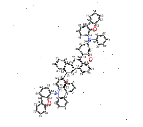 c1ccc(-c2ccccc2N(c2ccc(-c3cc4c5cccc6c5c(cc4c4ccccc34)-c3ccc(N(c4ccccc4)c4cccc5c4oc4ccccc45)cc3O6)cc2)c2cccc3c2oc2ccccc23)cc1